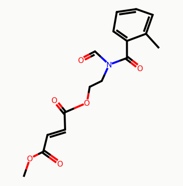 COC(=O)/C=C/C(=O)OCCN(C=O)C(=O)c1ccccc1C